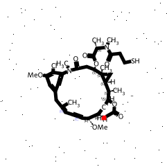 COc1cc2cc(c1Cl)N(C)C(=O)C[C@H](OC(=O)[C@H](C)N(C)C(=O)CCS)[C@@]1(C)C[C@H]1[C@H](C)[C@@H]1C[C@@H](NC(=O)O1)[C@H](OC)/C=C/C=C(\C)C2